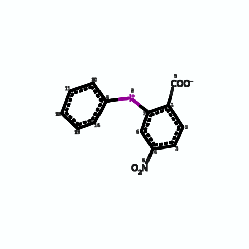 O=C([O-])c1ccc([N+](=O)[O-])cc1[I+]c1ccccc1